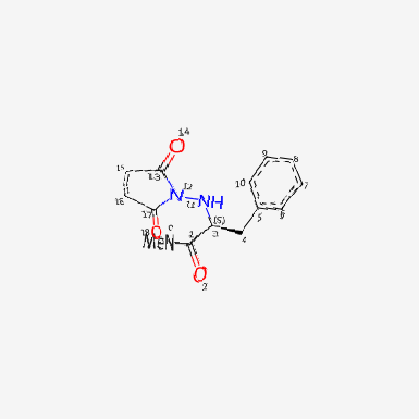 CNC(=O)[C@H](Cc1ccccc1)NN1C(=O)C=CC1=O